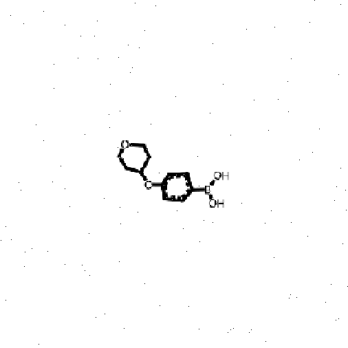 OB(O)c1ccc(OC2CCOCC2)cc1